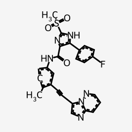 Cc1ccc(NC(=O)c2nc(S(C)(=O)=O)[nH]c2-c2ccc(F)cc2)cc1C#Cc1cnc2cccnn12